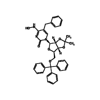 CC1(C)O[C@@H]2[C@H](O1)[C@@H](COC(c1ccccc1)(c1ccccc1)c1ccccc1)O[C@H]2n1cc(Cc2ccccc2)c(NO)nc1=O